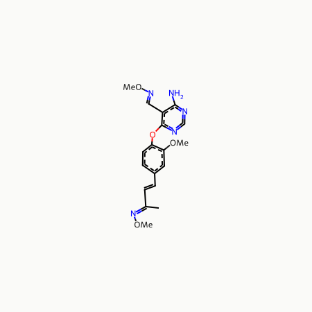 CO/N=C/c1c(N)ncnc1Oc1ccc(/C=C/C(C)=N/OC)cc1OC